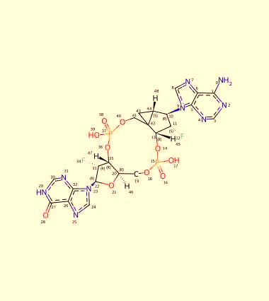 Nc1ncnc2c1ncn2[C@H]1[C@H](F)[C@@H]2OP(=O)(O)OC[C@H]3O[C@@H](n4cnc5c(=O)[nH]cnc54)[C@H](F)[C@@H]3OP(=O)(O)OCC23C[C@H]13